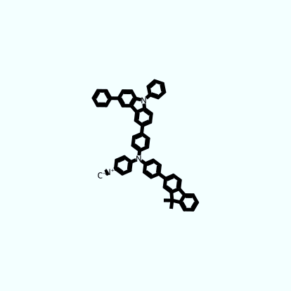 [C-]#[N+]c1ccc(N(c2ccc(-c3ccc4c(c3)C(C)(C)c3ccccc3-4)cc2)c2ccc(-c3ccc4c(c3)c3cc(-c5ccccc5)ccc3n4-c3ccccc3)cc2)cc1